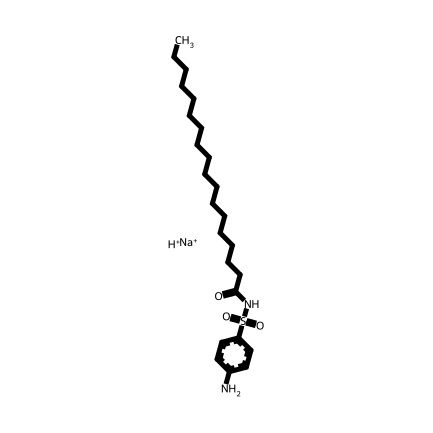 CCCCCCCCCCCCCCCCCC(=O)NS(=O)(=O)c1ccc(N)cc1.[H+].[Na+]